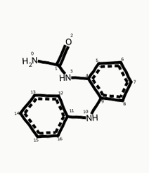 NC(=O)Nc1ccccc1Nc1ccccc1